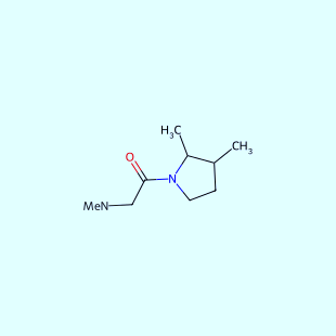 CNCC(=O)N1CCC(C)C1C